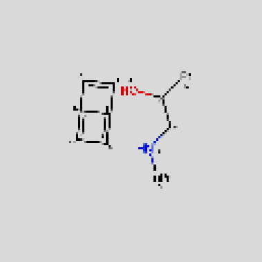 CCCNCC(O)CC.c1cc2ccc1-2